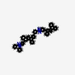 Cn1c(-c2cccc(-c3ccc4c(c3)c3c(c5ccccc54)-c4cc(-c5ccc6c(c5)nc(-c5ccccc5)n6-c5ccccc5)c5ccccc5c4C3(C)C)c2)nc2cc(-c3cc4c(c5ccccc35)C(C)(C)c3c-4c4ccccc4c4ccccc34)ccc21